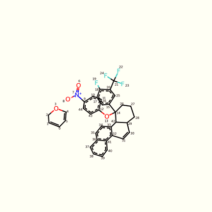 C1=CCOC=C1.O=[N+]([O-])c1ccc(OC2(c3ccc(F)c(C(F)(F)F)c3)CCCC3C=Cc4c(ccc5ccccc45)C32)cc1